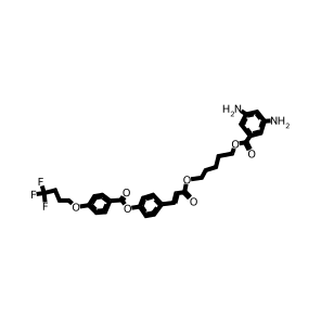 Nc1cc(N)cc(C(=O)OCCCCCOC(=O)C=Cc2ccc(OC(=O)c3ccc(OCCCC(F)(F)F)cc3)cc2)c1